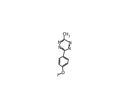 Cc1nnc(-c2ccc(OI)cc2)nn1